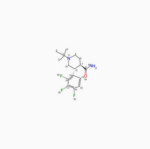 CC(C)(C)N1CC[C@@H](C(N)=O)[C@H](c2ccc(F)c(F)c2F)C1